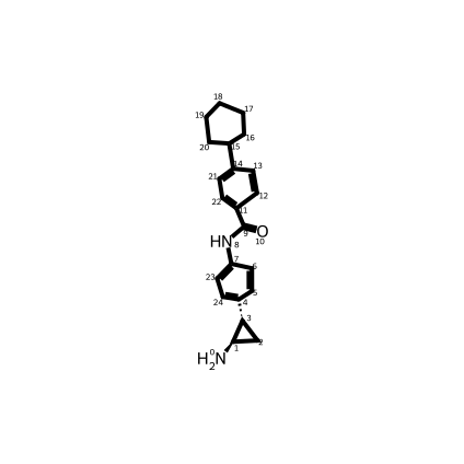 N[C@@H]1C[C@H]1c1ccc(NC(=O)c2ccc(C3CCCCC3)cc2)cc1